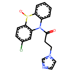 O=C(CCn1ccnc1)N1c2ccccc2[S+]([O-])c2ccc(Cl)cc21